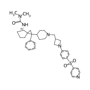 CN(C)C(=O)N[C@H]1CCCC12CC2(c1ccccc1)C1CCN(CC2CN(c3ccc(S(=O)(=O)c4ccncc4)cc3)C2)CC1